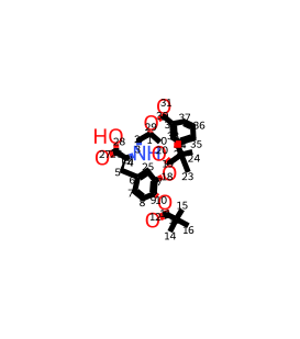 CC(CN[C@@H](Cc1ccc(OC(=O)C(C)(C)C)c(OC(=O)C(C)(C)C)c1)C(=O)O)OC(=O)c1ccccc1